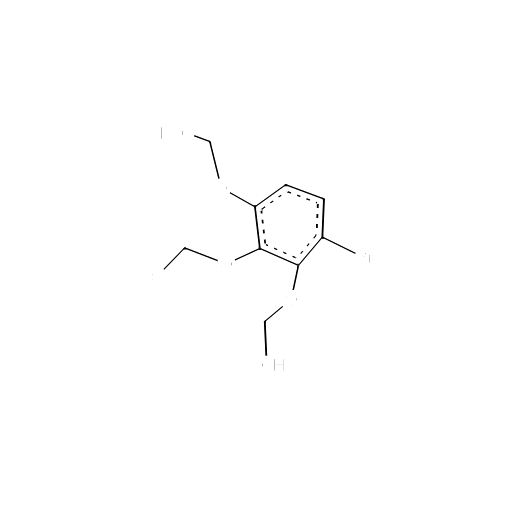 CCOc1ccc(Br)c(OCC)c1OCC